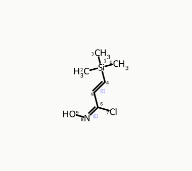 C[Si](C)(C)/C=C/C(Cl)=N\O